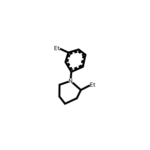 CCc1cccc(N2CCCCC2CC)c1